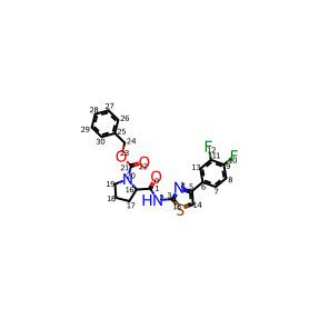 O=C(Nc1nc(-c2ccc(F)c(F)c2)cs1)C1CCCN1C(=O)OCc1ccccc1